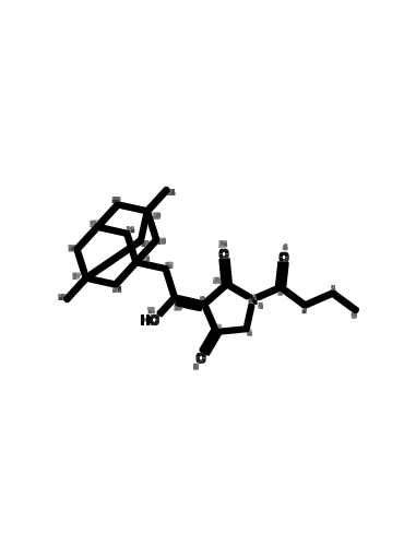 CCCC(=O)N1CC(=O)/C(=C(\O)CC23CC4CC(C)(CC(C)(C4)C2)C3)C1=O